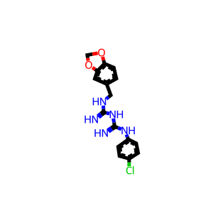 N=C(NCc1ccc2c(c1)OCO2)NC(=N)Nc1ccc(Cl)cc1